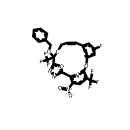 O=[N+]([O-])c1cc(C(F)(F)F)c2nc1-c1nnc(o1)C(OCc1ccccc1)(C(F)(F)F)CCC=Cc1cc(F)cc(c1)O2